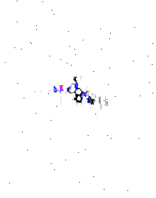 CCCN1C[C@@H](NC(=O)N(CC)CC)CC2c3cccc4c3c(c(Br)n4[Si](C)(C)C(C)(C)C)C[C@H]21